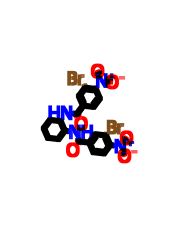 O=C(NC1CCCCC1NC(=O)c1ccc([N+](=O)[O-])c(Br)c1)c1ccc([N+](=O)[O-])c(Br)c1